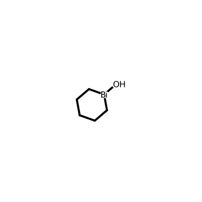 [OH][Bi]1[CH2]CCC[CH2]1